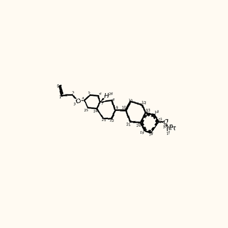 C=CCO[C@@H]1CC[C@@H]2CC(C3CCc4cc(OCCC)ccc4C3)CCC2C1